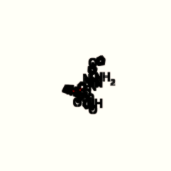 Nc1ncnc2c1c(-c1ccc(Oc3ccccc3)cc1)nn2C1CCC(CN2CC3CCC(C2)N3c2ccc3c(c2)C(=O)N(C2CCC(=O)NC2=O)C3=O)CC1F